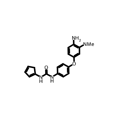 CNc1cc(Oc2ccc(NC(=O)NC3=CC=CC3)cc2)ccc1N